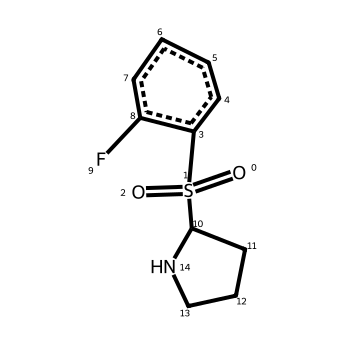 O=S(=O)(c1ccccc1F)C1CCCN1